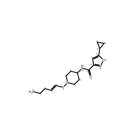 NCC/C=C/SN1CCC(NC(=O)c2cc(C3CC3)on2)CC1